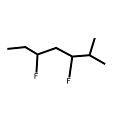 CCC(F)CC(F)C(C)C